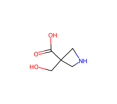 O=C(O)C1(CO)CNC1